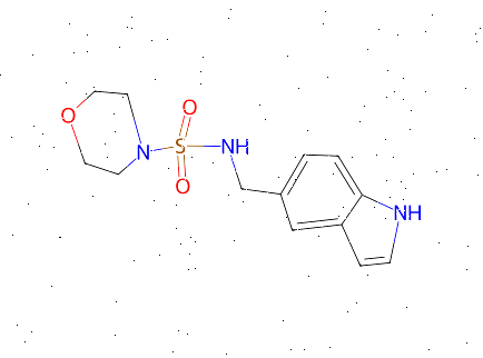 O=S(=O)(NCc1ccc2[nH]ccc2c1)N1CCOCC1